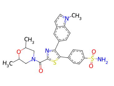 CC1CN(C(=O)c2nc(-c3ccc4c(ccn4C)c3)c(-c3ccc(S(N)(=O)=O)cc3)s2)CC(C)O1